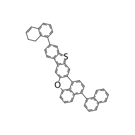 C1=Cc2cccc(-c3ccc4c(c3)sc3cc5c(cc34)Oc3cccc4c(-c6cccc7ccccc67)ccc-5c34)c2CC1